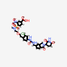 CN(CCOCCc1ccc(NC(=O)NCc2ccc3c(c2)CN(C2CCC(=O)NC2=O)C3=O)cc1Cl)S(=O)(=O)c1ccc(C(=O)O)cc1[N+](=O)[O-]